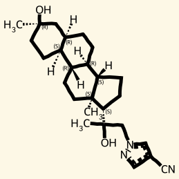 CC(O)(Cn1cc(C#N)cn1)[C@H]1CC[C@H]2[C@@H]3CC[C@@H]4C[C@](C)(O)CC[C@@H]4[C@H]3CC[C@]12C